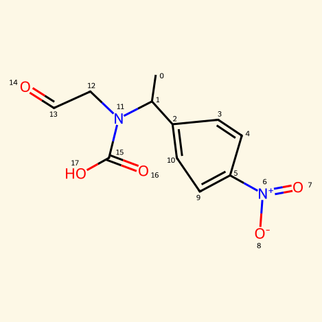 CC(c1ccc([N+](=O)[O-])cc1)N(CC=O)C(=O)O